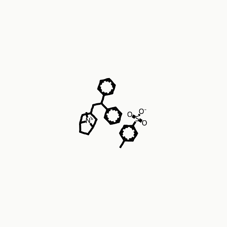 C[N+]1(C)C2CCC1CC(CC(c1ccccc1)c1ccccc1)C2.Cc1ccc(S(=O)(=O)[O-])cc1